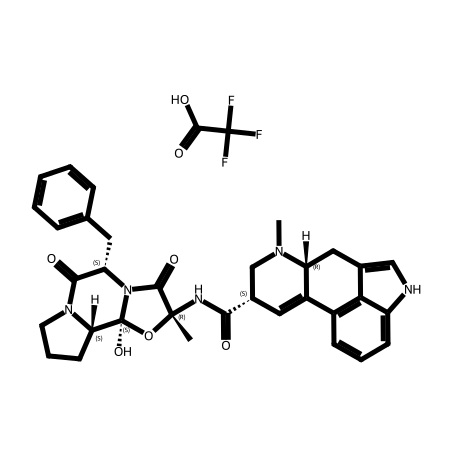 CN1C[C@@H](C(=O)N[C@]2(C)O[C@@]3(O)[C@@H]4CCCN4C(=O)[C@H](Cc4ccccc4)N3C2=O)C=C2c3cccc4[nH]cc(c34)C[C@H]21.O=C(O)C(F)(F)F